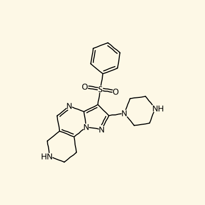 O=S(=O)(c1ccccc1)c1c(N2CCNCC2)nn2c3c(cnc12)CNCC3